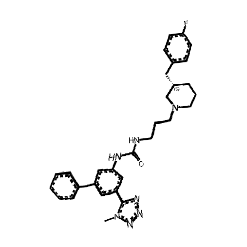 Cn1nnnc1-c1cc(NC(=O)NCCCN2CCC[C@@H](Cc3ccc(F)cc3)C2)cc(-c2ccccc2)c1